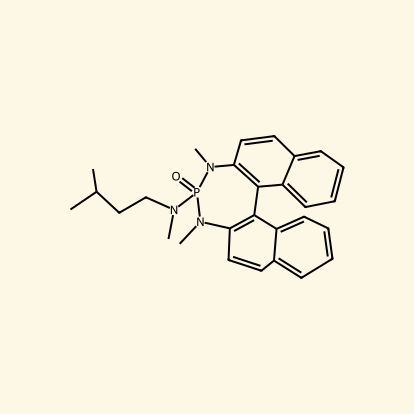 CC(C)CCN(C)P1(=O)N(C)c2ccc3ccccc3c2-c2c(ccc3ccccc23)N1C